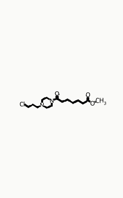 COC(=O)CCCCCC(=O)N1CCN(CCCCl)CC1